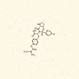 CN(C)C(=O)Oc1ccc(C[C@@H](C(=O)O)N(C(=O)[C@H]2NCCS2)S(=O)(=O)c2ccc(F)cc2)cc1